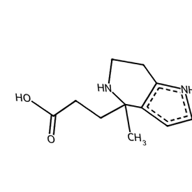 CC1(CCC(=O)O)NCCc2[nH]ccc21